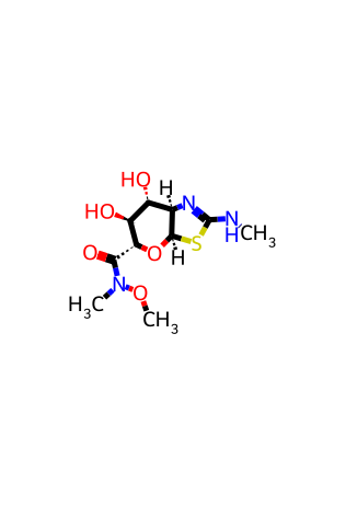 CNC1=N[C@@H]2[C@@H](O)[C@H](O)[C@@H](C(=O)N(C)OC)O[C@@H]2S1